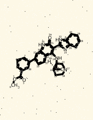 COC(=O)c1cccc(-c2ccc3c(N[C@H]4CN5CCC4CC5)c(-c4nc5ccccc5[nH]4)c(=O)[nH]c3c2)c1